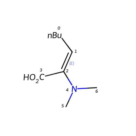 CCCC/C=C(\C(=O)O)N(C)C